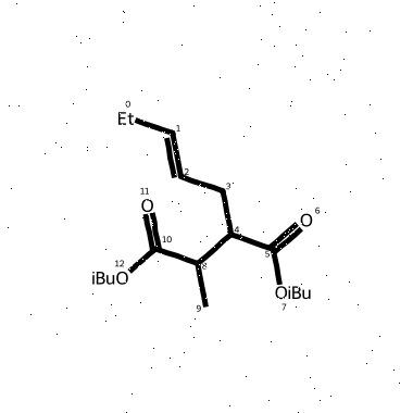 CCC=CCC(C(=O)OCC(C)C)C(C)C(=O)OCC(C)C